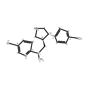 CN(C[C@H]1CNC[C@@H]1c1ccc(Cl)cc1)c1ccc(Cl)cn1